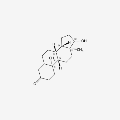 C[C@]12CC[C@H]3[C@H](CCC4CC(=O)CC[C@@]43C)[C@@H]1CC[C@@H]2O